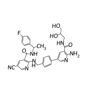 CC(NC(=O)c1cc(C#N)cnc1NCc1ccc(-c2cnc(N)c(C(=O)NCC(O)CO)c2)cc1)c1ccc(F)cc1